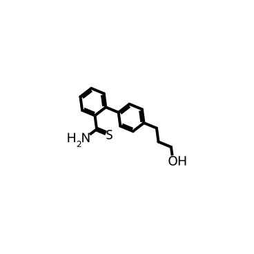 NC(=S)c1ccccc1-c1ccc(CCCO)cc1